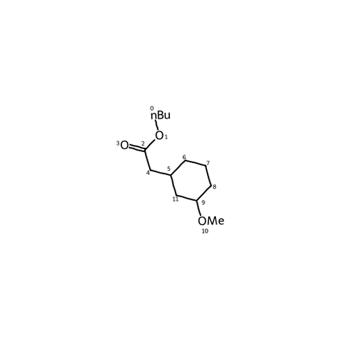 CCCCOC(=O)CC1CCCC(OC)C1